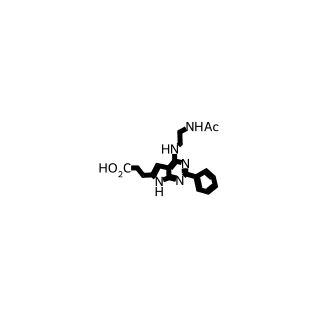 CC(=O)NCCNc1nc(-c2ccccc2)nc2[nH]c(CCC(=O)O)cc12